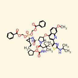 C=CC1C[C@]1(NC(=O)[C@@H]1C[C@@H](Oc2cc(-c3csc(NC(C)C)n3)nc3cc(OC)ccc23)CN1C(=O)[C@@H](NC(=O)OC1CCCC1)C(C)(C)C)P(=O)(OCOC(=O)c1ccccc1)OCOC(=O)c1ccccc1